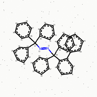 c1ccc(-c2ccccc2C(N=NC(c2ccccc2)(c2ccccc2)c2ccccc2)(c2ccccc2)c2ccccc2)cc1